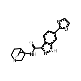 O=C(NC1CN2CCC1CC2)c1n[nH]c2cc(-c3ncco3)ccc12